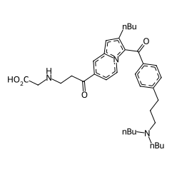 CCCCc1cc2cc(C(=O)CCNCC(=O)O)ccn2c1C(=O)c1ccc(CCCN(CCCC)CCCC)cc1